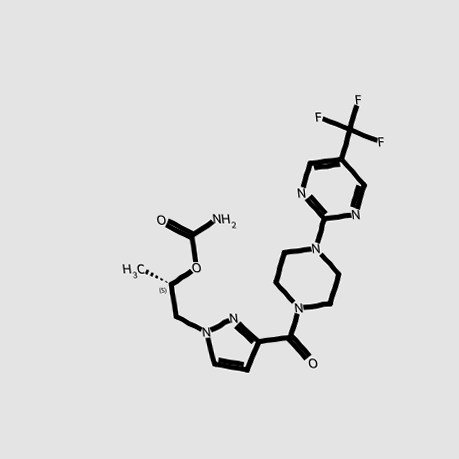 C[C@@H](Cn1ccc(C(=O)N2CCN(c3ncc(C(F)(F)F)cn3)CC2)n1)OC(N)=O